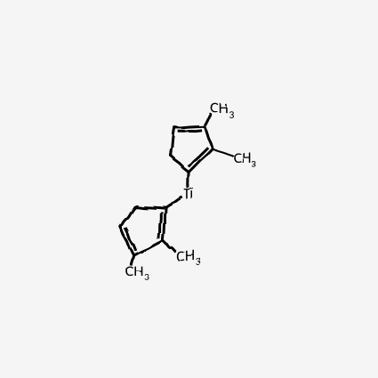 CC1=CC[C]([Ti][C]2=C(C)C(C)=CC2)=C1C